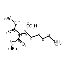 CCCCOC(=O)N(C(=O)OCCCC)[C@@H](CCCCN)C(=O)O